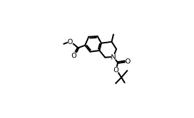 COC(=O)c1ccc2c(c1)CN(C(=O)OC(C)(C)C)CC2C